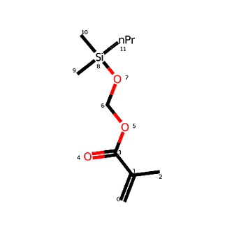 C=C(C)C(=O)OCO[Si](C)(C)CCC